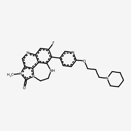 Cn1c(=O)n2c3c4c(c(-c5ccc(OCCCN6CCCCC6)nc5)c(F)cc4ncc31)NCC2